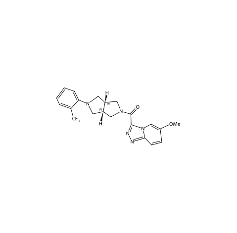 COc1ccc2nnc(C(=O)N3C[C@@H]4CN(c5ccccc5C(F)(F)F)C[C@@H]4C3)n2c1